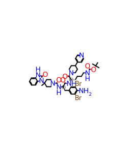 CC(C)(C)OC(=O)NCCCC[C@H](NC(=O)[C@@H](Cc1cc(Br)c(N)c(Br)c1)NC(=O)N1CCC(C)(n2c(=O)[nH]c3ccccc32)CC1)C(=O)N1CCC(c2ccncc2)CC1